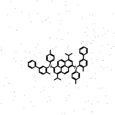 Cc1ccc(N(c2cc(-c3ccccc3)ccc2C)c2cc(C(C)C)c3ccc4c(N(c5ccc(C)cc5)c5cc(-c6ccccc6)ccc5C)cc(C(C)C)c5ccc2c3c54)cc1